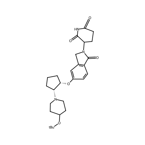 CC(C)(C)OC1CCN([C@@H]2CCC[C@@H]2Oc2ccc3c(c2)CN(C2CCC(=O)NC2=O)C3=O)CC1